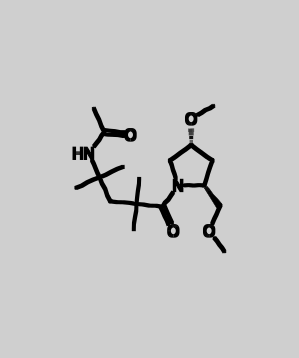 COC[C@@H]1C[C@@H](OC)CN1C(=O)C(C)(C)CC(C)(C)NC(C)=O